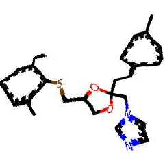 Cc1ccc(CCC2(Cn3ccnc3)OCC(CSc3c(C)cccc3C)O2)cc1